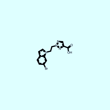 O=C(O)c1cnn(CCn2ccc3ccc(Br)cc32)n1